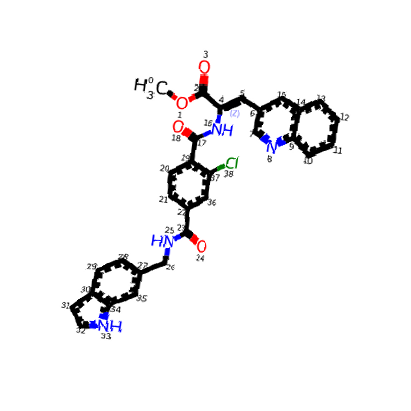 COC(=O)/C(=C/c1cnc2ccccc2c1)NC(=O)c1ccc(C(=O)NCc2ccc3cc[nH]c3c2)cc1Cl